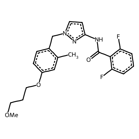 COCCCOc1ccc(Cn2ccc(NC(=O)c3c(F)cccc3F)n2)c(C)c1